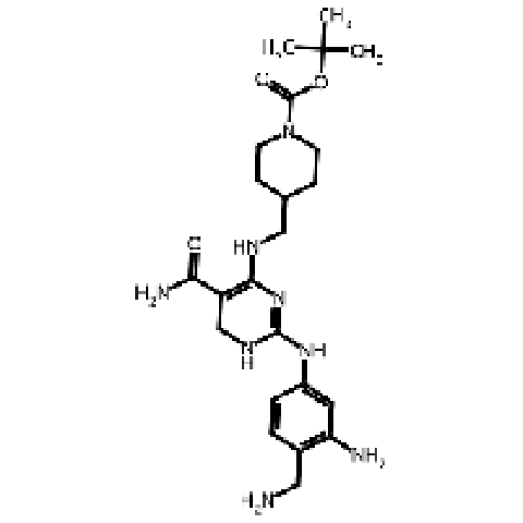 CC(C)(C)OC(=O)N1CCC(CNC2=C(C(N)=O)CNC(Nc3ccc(CN)c(N)c3)=N2)CC1